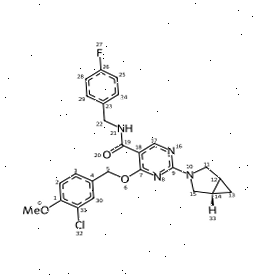 COc1ccc(COc2nc(N3CC4C[C@@H]4C3)ncc2C(=O)NCc2ccc(F)cc2)cc1Cl